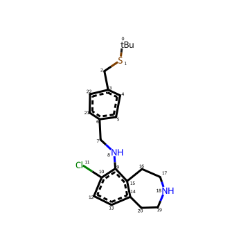 CC(C)(C)SCc1ccc(CNc2c(Cl)ccc3c2CCNCC3)cc1